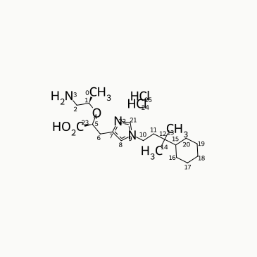 C[C@H](CN)O[C@@H](Cc1cn(CCC(C)(C)C2CCCCC2)cn1)C(=O)O.Cl.Cl